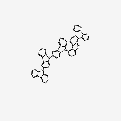 c1ccc(-c2ccccc2-c2cccc3c2sc2cccc(-n4c5ccccc5c5cc(-n6c7ccccc7c7cc(-n8c9ccccc9c9ccccc98)ccc76)ccc54)c23)cc1